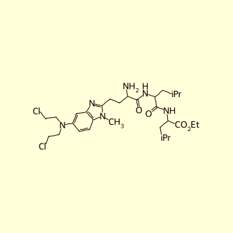 CCOC(=O)C(CC(C)C)NC(=O)C(CC(C)C)NC(=O)C(N)CCc1nc2cc(N(CCCl)CCCl)ccc2n1C